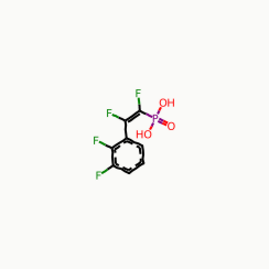 O=P(O)(O)C(F)=C(F)c1cccc(F)c1F